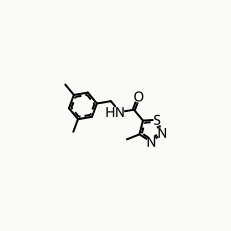 Cc1cc(C)cc(CNC(=O)c2snnc2C)c1